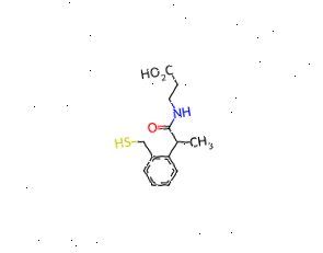 CC(C(=O)NCCC(=O)O)c1ccccc1CS